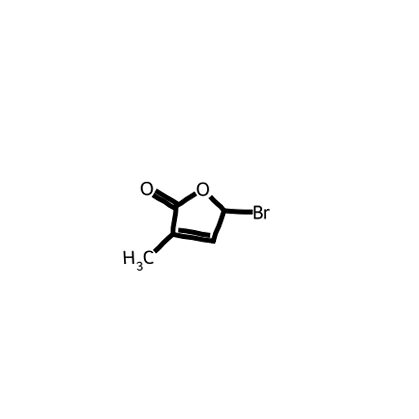 CC1=CC(Br)OC1=O